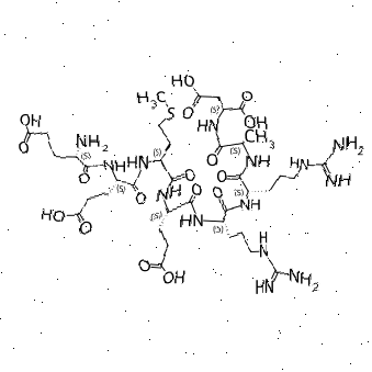 CSCC[C@H](NC(=O)[C@H](CCC(=O)O)NC(=O)[C@@H](N)CCC(=O)O)C(=O)N[C@@H](CCC(=O)O)C(=O)N[C@@H](CCCNC(=N)N)C(=O)N[C@@H](CCCNC(=N)N)C(=O)N[C@@H](C)C(=O)N[C@@H](CC(=O)O)C(=O)O